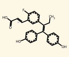 CCC(=C(c1ccc(O)cc1)c1ccc(O)cc1)c1ccc(F)c(/C=C/C(=O)O)c1